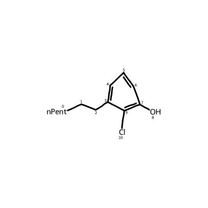 CCCCCCCc1cccc(O)c1Cl